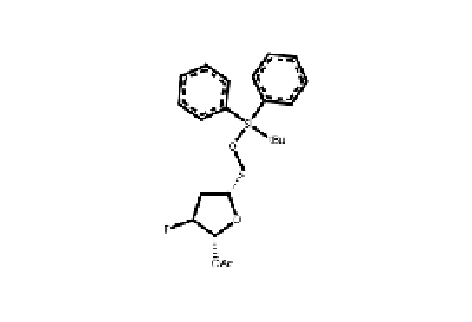 CC(=O)O[C@H]1O[C@@H](CO[Si](c2ccccc2)(c2ccccc2)C(C)(C)C)CC1F